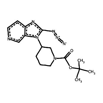 CC(C)(C)OC(=O)N1CCCC(n2c(N=[N+]=[N-])nc3ccncc32)C1